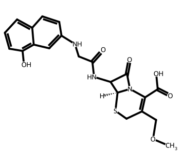 COCC1=C(C(=O)O)N2C(=O)C(NC(=O)CNc3ccc4cccc(O)c4c3)[C@@H]2SC1